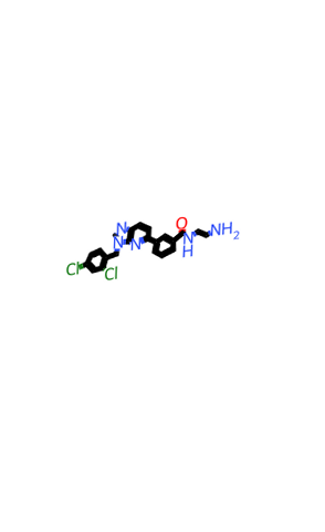 NCCNC(=O)c1cccc(-c2ccc3ncn(Cc4ccc(Cl)cc4Cl)c3n2)c1